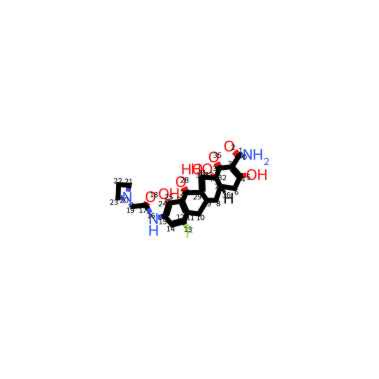 NC(=O)C1=C(O)C[C@@H]2CC3Cc4c(F)cc(NC(=O)CN5CCC5)c(O)c4C(=O)C3=C(O)[C@]2(O)C1=O